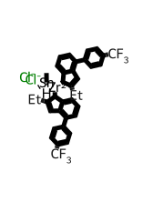 CCC1=Cc2c(-c3ccc(C(F)(F)F)cc3)cccc2[CH]1[Zr+2]([CH]1C(CC)=Cc2c(-c3ccc(C(F)(F)F)cc3)cccc21)[SnH]([CH3])[CH3].[Cl-].[Cl-]